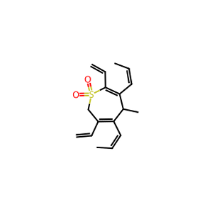 C=CC1=C(/C=C\C)C(C)C(/C=C\C)=C(C=C)S(=O)(=O)C1